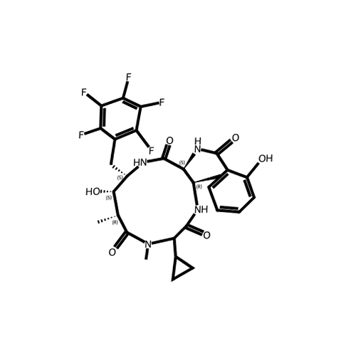 C[C@H]1NC(=O)C(C2CC2)N(C)C(=O)[C@H](C)[C@H](O)[C@H](Cc2c(F)c(F)c(F)c(F)c2F)NC(=O)[C@H]1NC(=O)c1ccccc1O